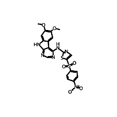 COc1cc2[nH]c3ncnc(Nc4ncc(S(=O)(=O)c5ccc([N+](=O)[O-])cc5)s4)c3c2cc1OC